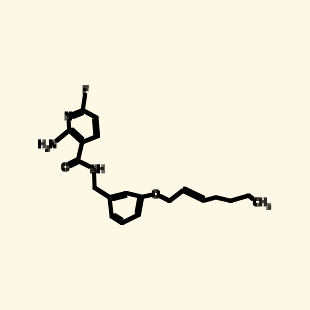 CCCCC=CCOc1cccc(CNC(=O)c2ccc(F)nc2N)c1